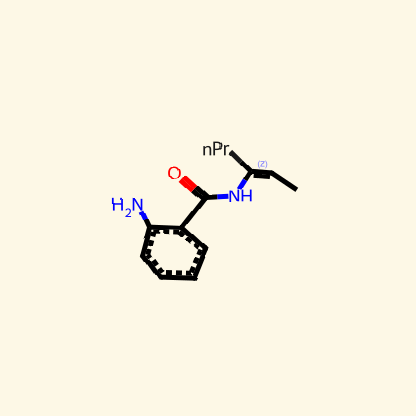 C/C=C(/CCC)NC(=O)c1ccccc1N